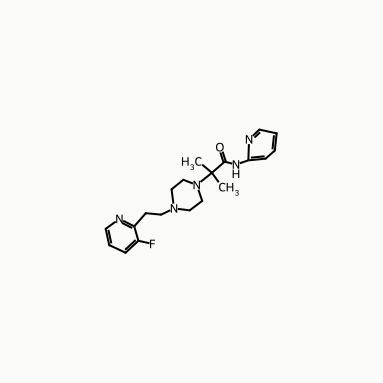 CC(C)(C(=O)Nc1ccccn1)N1CCN(CCc2ncccc2F)CC1